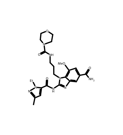 CCn1nc(C)cc1C(=O)Nc1nc2cc(C(N)=O)cc(OC)c2n1CCCNC(=O)N1CCOCC1